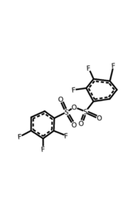 O=S(=O)(OS(=O)(=O)c1ccc(F)c(F)c1F)c1ccc(F)c(F)c1F